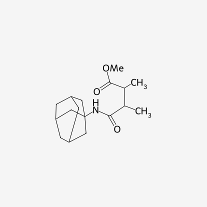 COC(=O)C(C)C(C)C(=O)NC12CC3CC(CC(C3)C1)C2